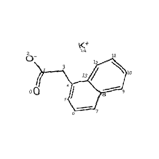 O=C([O-])Cc1cccc2ccccc12.[K+]